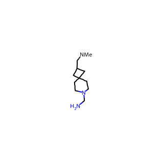 CNCC1CC2(CCN(CN)CC2)C1